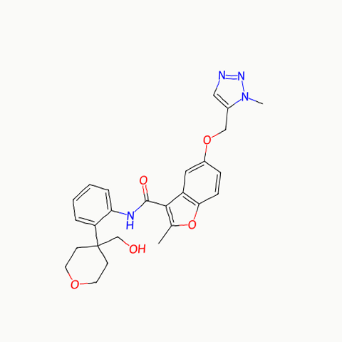 Cc1oc2ccc(OCc3cnnn3C)cc2c1C(=O)Nc1ccccc1C1(CO)CCOCC1